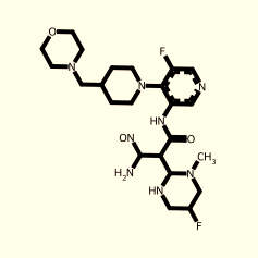 CN1CC(F)CNC1C(C(=O)Nc1cncc(F)c1N1CCC(CN2CCOCC2)CC1)C(N)N=O